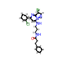 O=C(CCc1ccccc1)NCCCNc1cc(-c2ccccc2Cl)nc2c(Br)cnn12